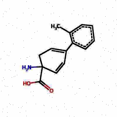 Cc1ccccc1C1=CCC(N)(C(=O)O)C=C1